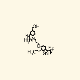 CCCc1c(OCCCN(N)c2ccc(CO)cc2NI)ccc2c(C(F)(F)F)noc12